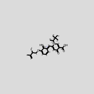 C=C(C)C(F)COC1=CC=C/C(=C\c2cc(=O)c(C(=O)O)cn2C(C)C(C)(C)C)C1=N